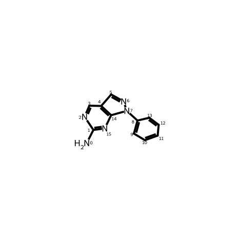 Nc1ncc2cnn(-c3ccccc3)c2n1